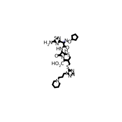 Nc1nc(/C(=N/OC2CCCC2)C(=O)NC2C(=O)N3C(C(=O)O)=C(CSc4nnnn4CCCN4CCCCC4)CS[C@H]23)ns1